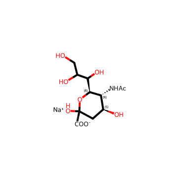 CC(=O)N[C@@H]1[C@@H](O)CC(O)(C(=O)[O-])O[C@H]1C(O)C(O)CO.[Na+]